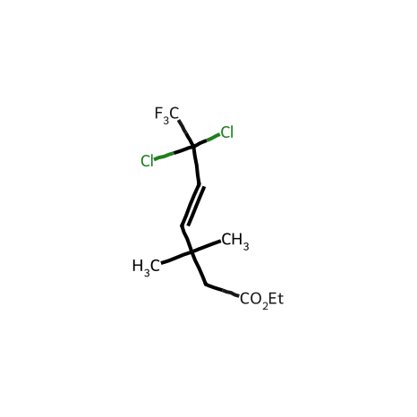 CCOC(=O)CC(C)(C)/C=C/C(Cl)(Cl)C(F)(F)F